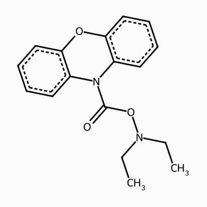 CCN(CC)OC(=O)N1c2ccccc2Oc2ccccc21